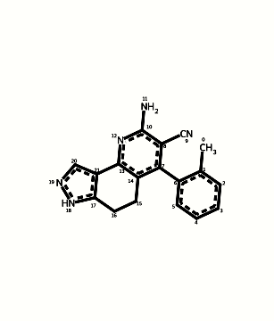 Cc1ccccc1-c1c(C#N)c(N)nc2c1CCc1[nH]ncc1-2